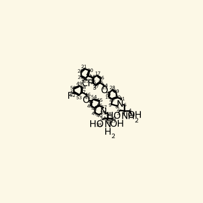 NC(CO)(CO)CN1CCc2cc(OCc3ccc(-c4ccccc4C(F)(F)F)cc3)ccc2C1.NC(CO)(CO)CN1CCc2cc(OCc3cccc(F)c3)ccc2C1